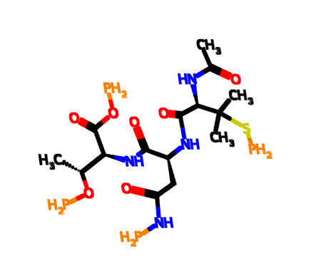 CC(=O)N[C@H](C(=O)N[C@@H](CC(=O)NP)C(=O)N[C@H](C(=O)OP)[C@@H](C)OP)C(C)(C)SP